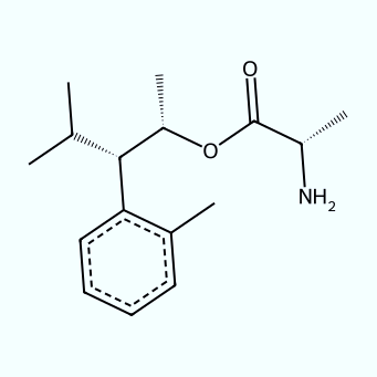 Cc1ccccc1[C@H](C(C)C)[C@H](C)OC(=O)[C@H](C)N